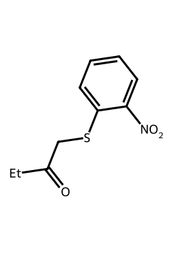 CCC(=O)CSc1ccccc1[N+](=O)[O-]